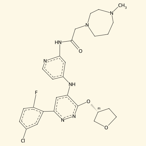 CN1CCCN(CC(=O)Nc2cc(Nc3cc(-c4cc(Cl)ccc4F)nnc3O[C@@H]3CCOC3)ccn2)CC1